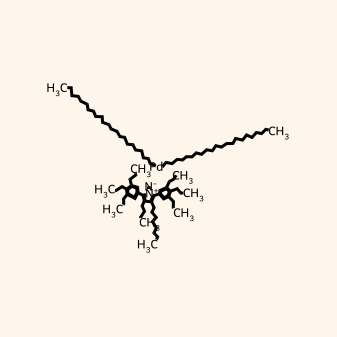 CCCCCCCCC1=C(c2cc(CCC)c(CCC)c(CCC)c2)[N+](=[N-])C(c2cc(CCC)c(CCC)c(CCC)c2)=C1CCCC.CCCCCCCCCCCCCCCCCCCCCC[CH2][Pd][CH2]CCCCCCCCCCCCCCCCCCCCCC